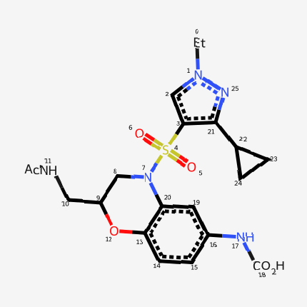 CCn1cc(S(=O)(=O)N2CC(CNC(C)=O)Oc3ccc(NC(=O)O)cc32)c(C2CC2)n1